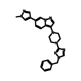 Cn1cc(-c2ccc3c(N4CCN(c5ncn(Cc6ccccc6)n5)CC4)cnn3c2)cn1